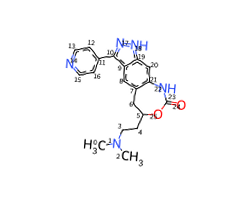 CN(C)CCC1Cc2cc3c(-c4ccncc4)n[nH]c3cc2NC(=O)O1